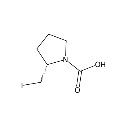 O=C(O)N1CCC[C@H]1CI